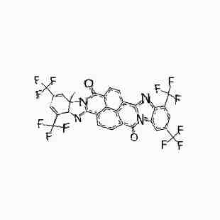 CC12C=C(C(F)(F)F)C=C(C(F)(F)F)C1N=c1c3ccc4c(=O)n5c6cc(C(F)(F)F)cc(C(F)(F)F)c6nc5c5ccc(c(=O)n12)c3c45